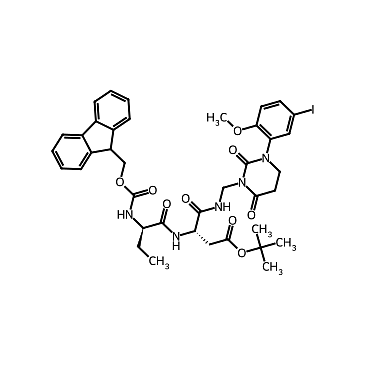 CC[C@@H](NC(=O)OCC1c2ccccc2-c2ccccc21)C(=O)N[C@@H](CC(=O)OC(C)(C)C)C(=O)NCN1C(=O)CCN(c2cc(I)ccc2OC)C1=O